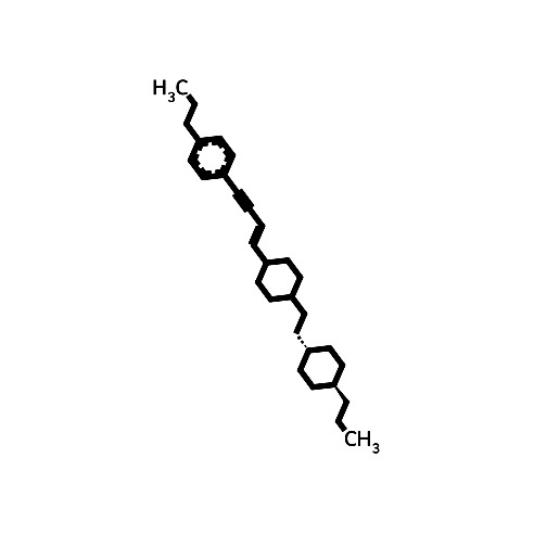 CCCc1ccc(C#C/C=C/C2CCC(CC[C@H]3CC[C@H](CCC)CC3)CC2)cc1